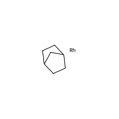 C1CC2CCC1C2.[Rh]